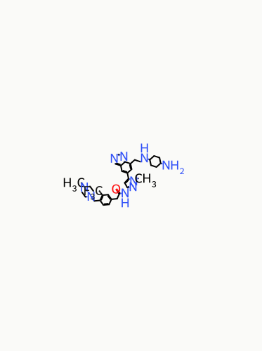 CN1CCN(Cc2ccc(CC(=O)Nc3cc(-c4cc(CCNC5CCC(N)CC5)c5ncncc5c4)n(C)n3)cc2C(F)(F)F)CC1